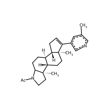 CC(=O)N1CC[C@@]2(C)C1CC[C@@H]1[C@@H]2CC[C@]2(C)C(c3cncc(C)c3)=CC[C@@H]12